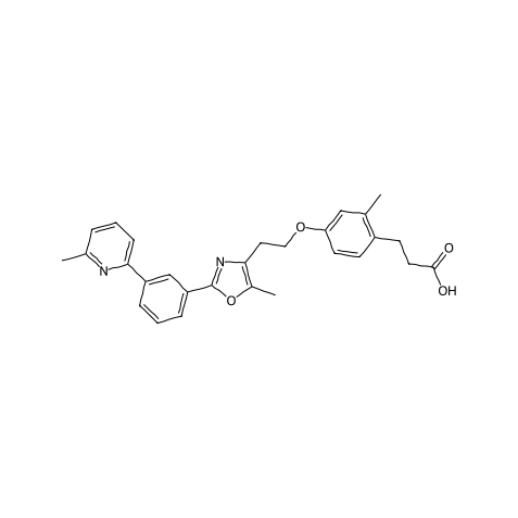 Cc1cccc(-c2cccc(-c3nc(CCOc4ccc(CCC(=O)O)c(C)c4)c(C)o3)c2)n1